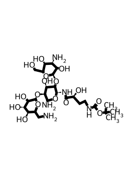 CC(C)(C)OC(=O)NCC[C@H](O)C(=O)N[C@@H]1OC(N)[C@@H](O[C@H]2OC(CN)[C@@H](O)[C@H](O)C2O)[C@H](O)C1O[C@H]1OC(CO)[C@@H](O)[C@H](N)C1O